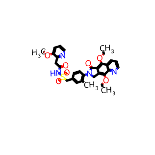 CCOc1c2c(c(OCC)c3ncccc13)CN(c1ccc(CS(=O)(=O)NC(=O)Cc3ncccc3OC)cc1C)C2=O